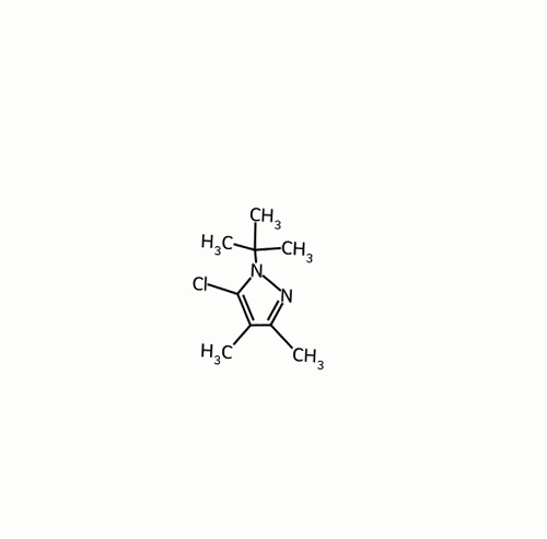 Cc1nn(C(C)(C)C)c(Cl)c1C